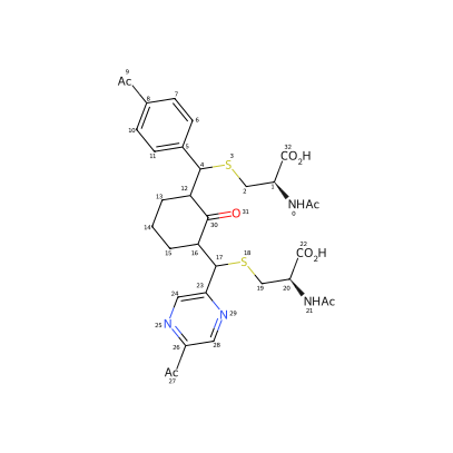 CC(=O)N[C@@H](CSC(c1ccc(C(C)=O)cc1)C1CCCC(C(SC[C@H](NC(C)=O)C(=O)O)c2cnc(C(C)=O)cn2)C1=O)C(=O)O